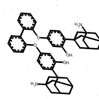 NC12CC3CC(C1)CC(c1ccc(Oc4ccccc4-c4ccccc4Oc4ccc(C56CC7CC(CC(N)(C7)C5)C6)c(O)c4)cc1O)(C3)C2